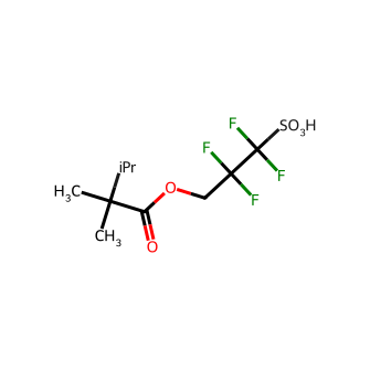 CC(C)C(C)(C)C(=O)OCC(F)(F)C(F)(F)S(=O)(=O)O